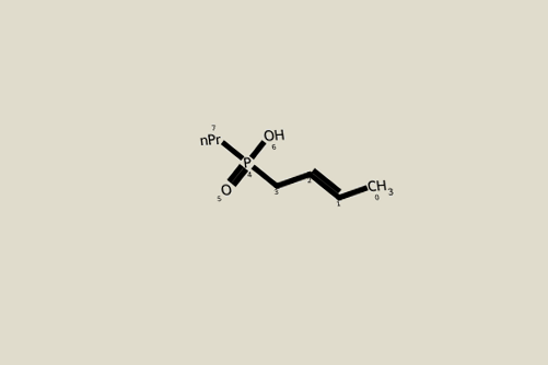 CC=CCP(=O)(O)CCC